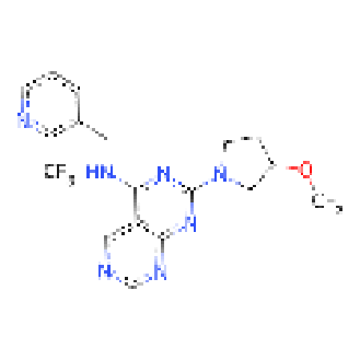 FC(F)(F)OC1CCN(c2nc(NCc3cccnc3C(F)(F)F)c3cncnc3n2)C1